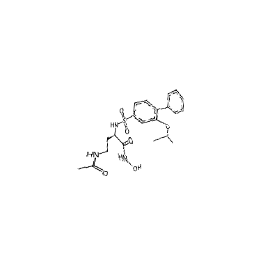 CC(=O)NCC[C@@H](NS(=O)(=O)c1ccc(-c2ccccc2)c(OC(C)C)c1)C(=O)NO